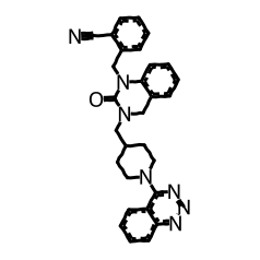 N#Cc1ccccc1CN1C(=O)N(CC2CCN(c3nnnc4ccccc34)CC2)Cc2ccccc21